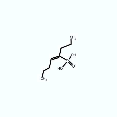 CCCC=C(CCC)P(=O)(O)O